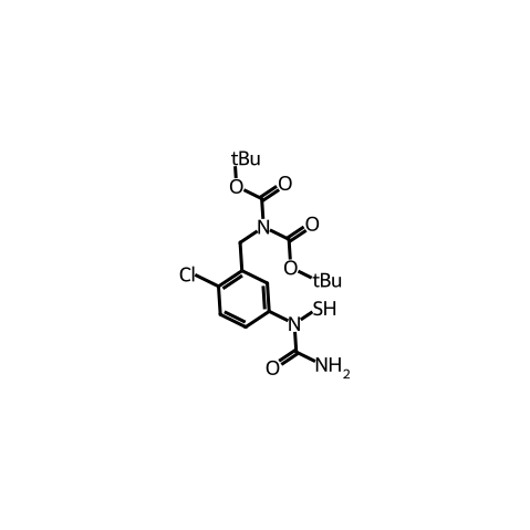 CC(C)(C)OC(=O)N(Cc1cc(N(S)C(N)=O)ccc1Cl)C(=O)OC(C)(C)C